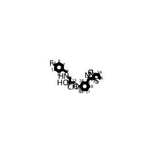 C[C@@](O)(CNCc1ccc(F)cc1)COc1cccc(-c2noc3ccsc23)c1